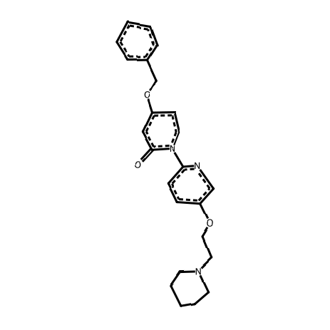 O=c1cc(OCc2ccccc2)ccn1-c1ccc(OCCN2CCCCC2)cn1